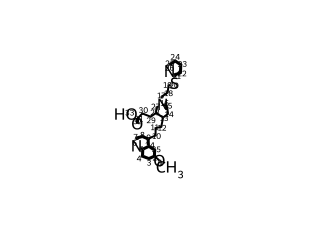 COc1ccc2nccc(CCCC3CCN(CCCSc4ccccn4)CC3CCC(=O)O)c2c1